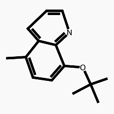 Cc1ccc(OC(C)(C)C)c2ncccc12